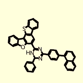 c1ccc(C2N=C(c3ccc(-c4cccc5ccccc45)cc3)N=C(c3cc4c5ccccc5sc4c4c3oc3ccccc34)N2)cc1